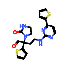 O=CC(CCNc1nccc(-c2cccs2)n1)(c1cccs1)N1CCNC1=O